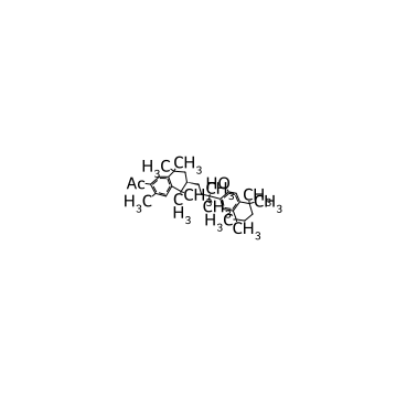 CC(=O)c1cc2c(cc1C)C(C)(C)[C@H](CCC(C)(C)c1cc3c(cc1O)C(C)(C)CCC3(C)C)CC2(C)C